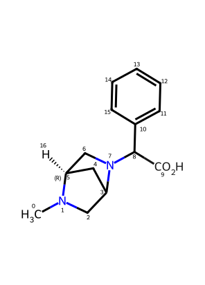 CN1CC2C[C@@H]1CN2C(C(=O)O)c1ccccc1